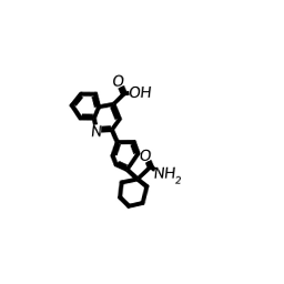 NC(=O)C1(c2ccc(-c3cc(C(=O)O)c4ccccc4n3)cc2)CCCCC1